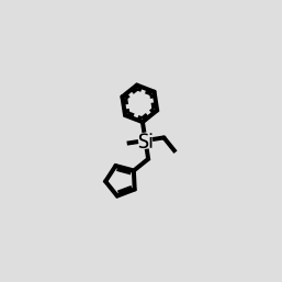 CC[Si](C)(CC1=CCC=C1)c1ccccc1